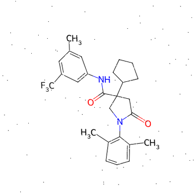 Cc1cc(NC(=O)C2(C3CCCC3)CC(=O)N(c3c(C)cccc3C)C2)cc(C(F)(F)F)c1